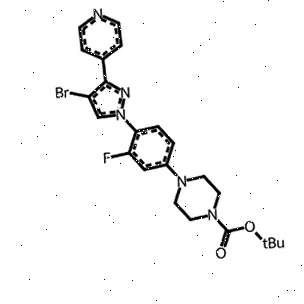 CC(C)(C)OC(=O)N1CCN(c2ccc(-n3cc(Br)c(-c4ccncc4)n3)c(F)c2)CC1